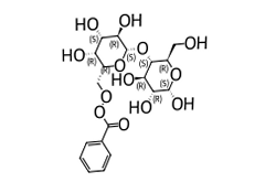 O=C(OOC[C@H]1O[C@@H](O[C@H]2[C@H](O)[C@@H](O)[C@@H](O)O[C@@H]2CO)[C@H](O)[C@@H](O)[C@H]1O)c1ccccc1